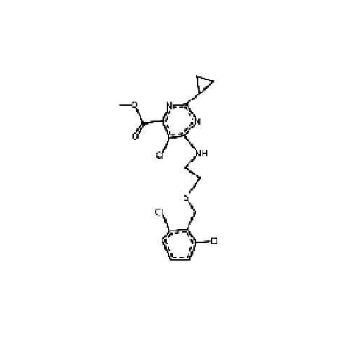 COC(=O)c1nc(C2CC2)nc(NCCSCc2c(Cl)cccc2Cl)c1Cl